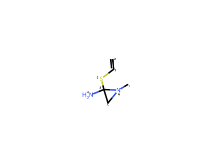 C=CSC1(N)CN1C